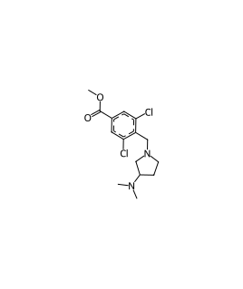 COC(=O)c1cc(Cl)c(CN2CCC(N(C)C)C2)c(Cl)c1